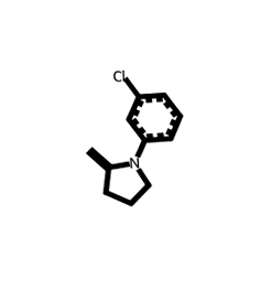 C=C1CCCN1c1cccc(Cl)c1